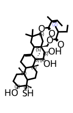 C/C=C(/C)C(=O)O[C@H]1C[C@@]2(COC(=O)C(C)CC)C(CC1(C)C)C1=CCC3[C@@]4(C)CC[C@H](O)[C@@](C)(S)C4CC[C@@]3(C)[C@]1(C)[C@@H](O)[C@H]2O